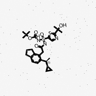 C[C@H](c1ccc2c(c1CC(=O)N=S(=O)(NC(=O)OC(C)(C)C)c1cnc(C(C)(C)O)s1)CCC2)C1CC1